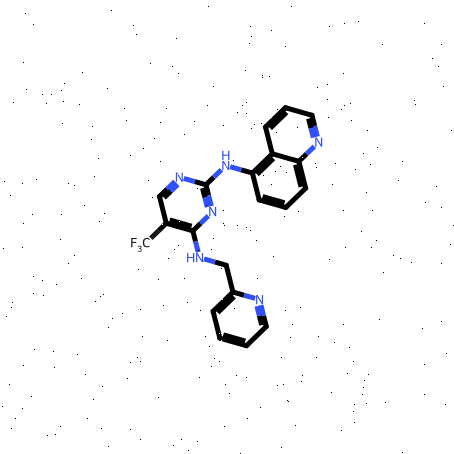 FC(F)(F)c1cnc(Nc2cccc3ncccc23)nc1NCc1ccccn1